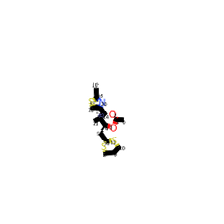 CC(=O)O[C@@H](CC1SCCCS1)/C(C)=C/c1csc(C)n1